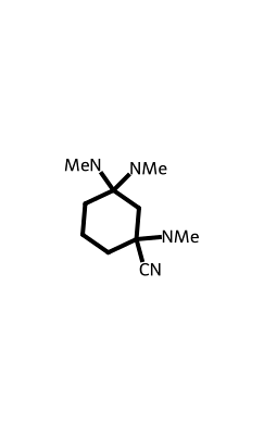 CNC1(C#N)CCCC(NC)(NC)C1